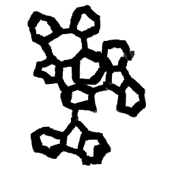 c1ccc2c(c1)-c1ccccc1-c1cccc(-c3cc(-n4c5ccccc5c5ncccc54)cc(-n4c5ccccc5c5ncccc54)c3)c1-c1ccccc1-2